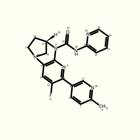 Cc1ccc(-c2nc3c(cc2F)N2CC[C@@H](C2)N3C(=O)Nc2ccccn2)cn1